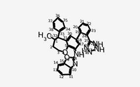 CC1CCOc2c(Nc3nc4ccccc4o3)cc(-c3ccccc3C3=NNNN3)cc2C1c1ccccc1